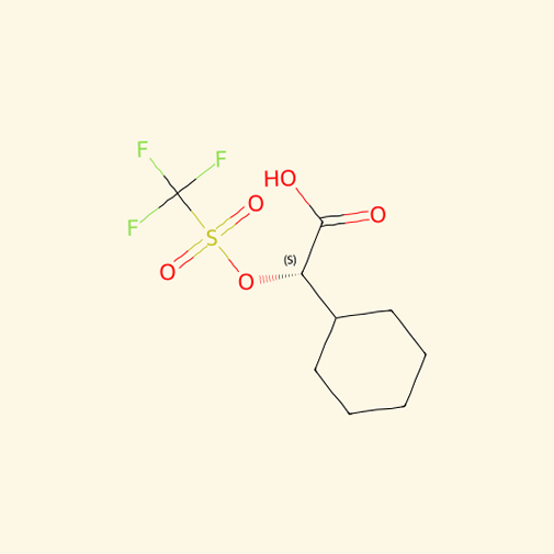 O=C(O)[C@@H](OS(=O)(=O)C(F)(F)F)C1CCCCC1